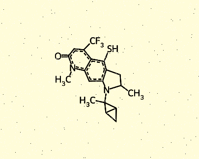 CC1Cc2c(cc3c(c(C(F)(F)F)cc(=O)n3C)c2S)N1C1(C)C2CC21